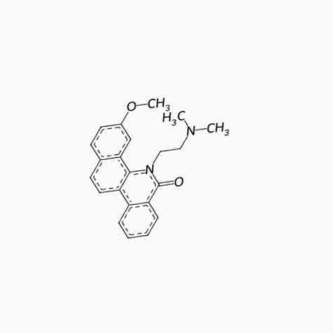 COc1ccc2ccc3c4ccccc4c(=O)n(CCN(C)C)c3c2c1